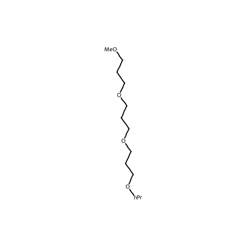 CCCOCCCOCCCOCC[CH]OC